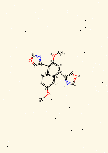 COc1ccc2c(-c3cocn3)c(OC)cc(-c3cocn3)c2c1